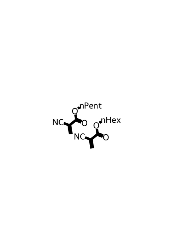 C=C(C#N)C(=O)OCCCCC.C=C(C#N)C(=O)OCCCCCC